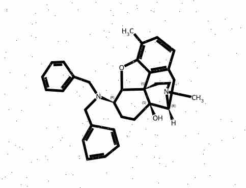 Cc1ccc2c3c1OC1[C@H](N(Cc4ccccc4)Cc4ccccc4)CC[C@@]4(O)[C@@H](C2)N(C)CC[C@]314